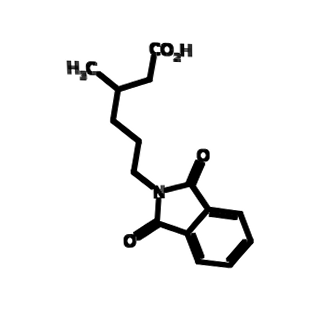 CC(CCCN1C(=O)c2ccccc2C1=O)CC(=O)O